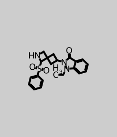 CCn1c2ccccc2c(=O)n1C1CC2(CNC2S(=O)(=O)c2ccccc2)C1